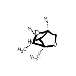 C[C@@H]1O[C@H]2CO[C@]1(C)[C@H]2O